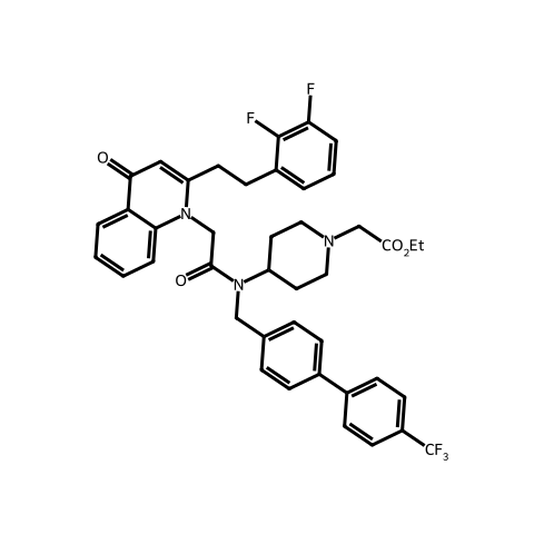 CCOC(=O)CN1CCC(N(Cc2ccc(-c3ccc(C(F)(F)F)cc3)cc2)C(=O)Cn2c(CCc3cccc(F)c3F)cc(=O)c3ccccc32)CC1